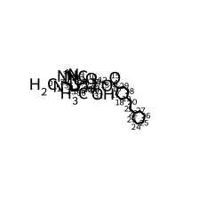 C=Nc1ncnn2c([C@]3(C#N)O[C@H](COC(=O)C4CCC(CCC5CCCCC5)CC4)[C@@H](O)[C@H]3C)ccc12